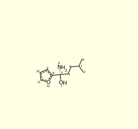 CC(C)CC[C@@](N)(O)c1ccco1